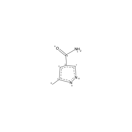 Cc1cc(C(N)=O)cnn1